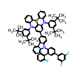 CC(C)(C)c1cc(N2c3ccccc3B3c4ccccc4N(c4cc(C(C)(C)C)cc(C(C)(C)C)c4)c4cc(-c5ccc6c(c5)c5ccccc5n6-c5ccc(-c6cc(F)cc(F)c6)cc5-c5c(F)cccc5F)cc2c43)cc(C(C)(C)C)c1